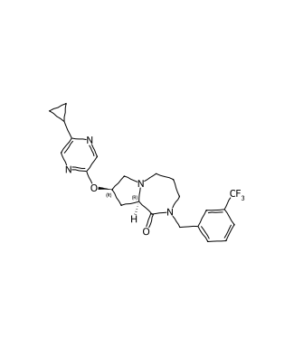 O=C1[C@H]2C[C@@H](Oc3cnc(C4CC4)cn3)CN2CCCN1Cc1cccc(C(F)(F)F)c1